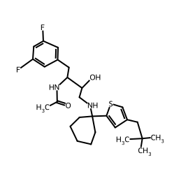 CC(=O)NC(Cc1cc(F)cc(F)c1)C(O)CNC1(c2cc(CC(C)(C)C)cs2)CCCCC1